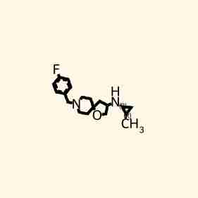 C[C@@H]1C[C@H]1NC1COC2(CCN(Cc3ccc(F)cc3)CC2)C1